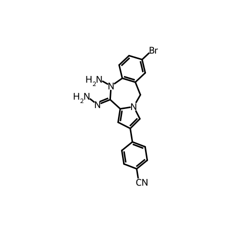 N#Cc1ccc(-c2cc3n(c2)Cc2cc(Br)ccc2N(N)/C3=N\N)cc1